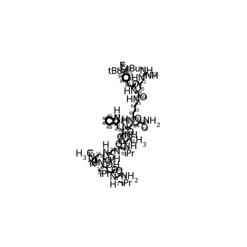 CC(C)C[C@H](NC(=O)C[C@H](O)[C@H](CC(C)C)NC(=O)[C@H](Cc1cncn1C)NC(=O)CNC(=O)[C@@H](NC(=O)[C@H](C)NC(=O)[C@H](Cc1c[nH]c2ccccc12)NC(=O)[C@H](CCC(N)=O)NC(=O)CCCCNC(=O)[C@H](CCCNC(=N)N)NC(=O)Cc1ccc([Si](F)(C(C)(C)C)C(C)(C)C)cc1)C(C)C)C(N)=O